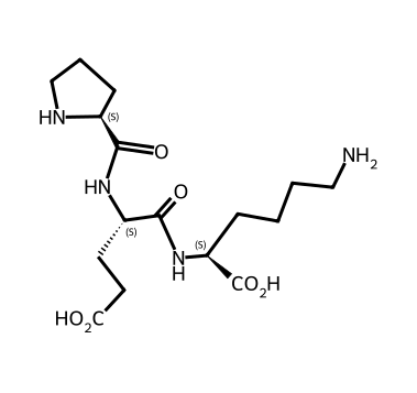 NCCCC[C@H](NC(=O)[C@H](CCC(=O)O)NC(=O)[C@@H]1CCCN1)C(=O)O